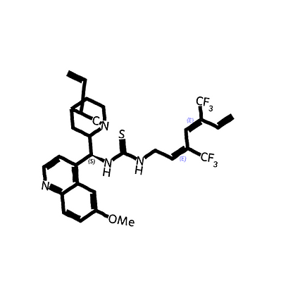 C=C/C(=C\C(=C/CNC(=S)N[C@@H](c1ccnc2ccc(OC)cc12)C1CC2CCN1CC2C=C)C(F)(F)F)C(F)(F)F